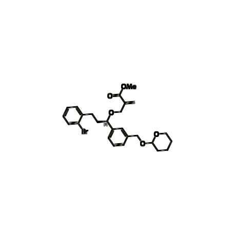 C=C(CO[C@H](CCc1ccccc1Br)c1cccc(COC2CCCCO2)c1)C(=O)OC